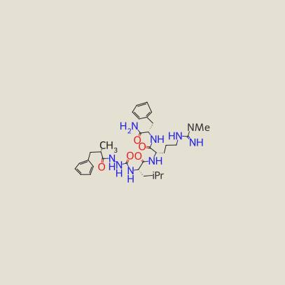 CNC(=N)NCCC[C@H](NC(=O)[C@H](CC(C)C)NC(=O)NNC(=O)[C@@H](C)Cc1ccccc1)C(=O)N[C@@H](Cc1ccccc1)C(N)=O